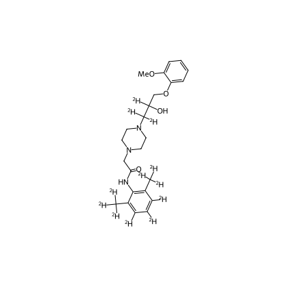 [2H]c1c([2H])c(C([2H])([2H])[2H])c(NC(=O)CN2CCN(C([2H])([2H])C([2H])(O)COc3ccccc3OC)CC2)c(C([2H])([2H])[2H])c1[2H]